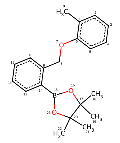 Cc1ccccc1OCc1ccccc1B1OC(C)(C)C(C)(C)O1